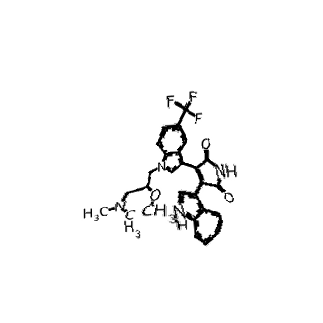 COC(CN(C)C)Cn1cc(C2=C(c3c[nH]c4ccccc34)C(=O)NC2=O)c2cc(C(F)(F)F)ccc21